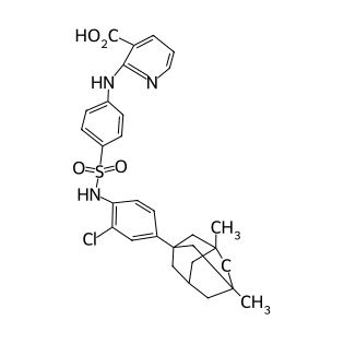 CC12CC3CC(C)(C1)CC(c1ccc(NS(=O)(=O)c4ccc(Nc5ncccc5C(=O)O)cc4)c(Cl)c1)(C3)C2